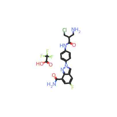 NCC(CCl)C(=O)Nc1ccc(-n2cc3cc(F)cc(C(N)=O)c3n2)cc1.O=C(O)C(F)(F)F